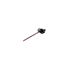 CCCCCCCCCCCCCCCCCCCCCCCCCC(=O)Oc1ccccc1[N+](=O)[O-]